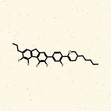 CCCCCC1CC=C(c2ccc(-c3cc4c(c(F)c3F)-c3c(cc(CCC)c(F)c3F)C4)cc2F)OC1